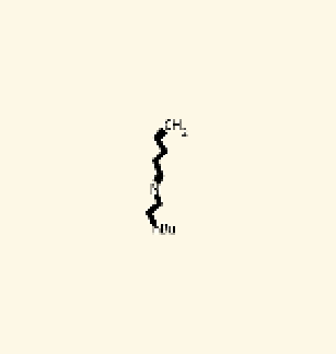 C=CCCC=NCCCCCC